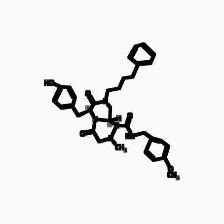 COc1ccc(CNC(=O)N2[C@H]3CN(CCCCc4ccccc4)C(=O)[C@H](Cc4ccc(O)cc4)N3C(=O)CN2C)cc1